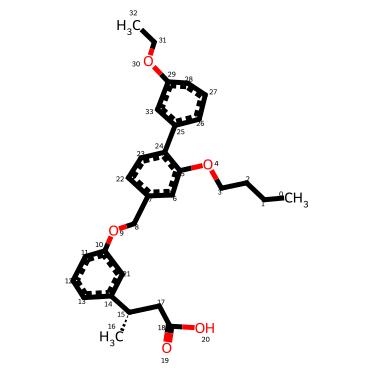 CCCCOc1cc(COc2cccc([C@@H](C)CC(=O)O)c2)ccc1-c1cccc(OCC)c1